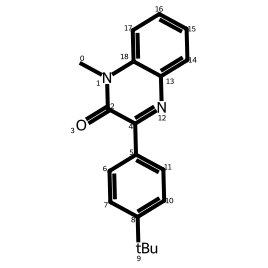 Cn1c(=O)c(-c2ccc(C(C)(C)C)cc2)nc2ccccc21